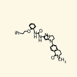 CC(C)CCOc1ccccc1NC(=O)Nc1cc2n(n1)CCN2c1ccc2c(c1)CCN(C)C2=O